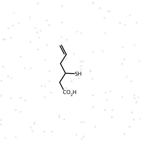 C=CCC(S)CC(=O)O